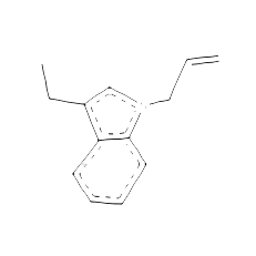 C=CCn1cc(CO)c2ccccc21